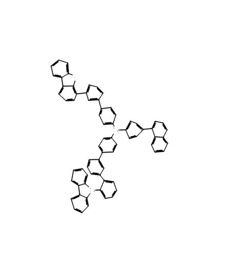 c1cc(-c2ccc(N(c3ccc(-c4cccc(-c5cccc6c5oc5ccccc56)c4)cc3)c3ccc(-c4cccc5ccccc45)cc3)cc2)cc(-c2ccccc2-n2c3ccccc3c3ccccc32)c1